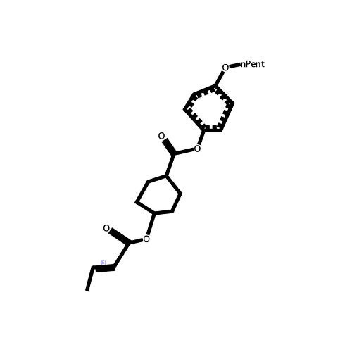 C/C=C/C(=O)OC1CCC(C(=O)Oc2ccc(OCCCCC)cc2)CC1